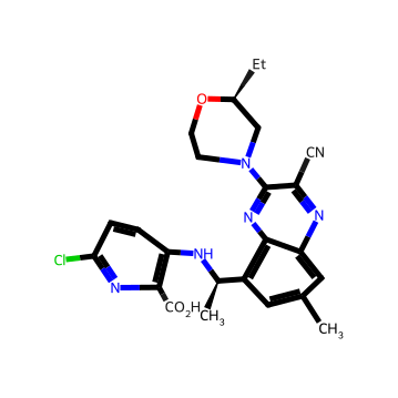 CC[C@H]1CN(c2nc3c([C@@H](C)Nc4ccc(Cl)nc4C(=O)O)cc(C)cc3nc2C#N)CCO1